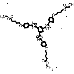 C=COC(=O)CCCCOc1ccc(-c2noc(-c3cc(-c4nc(-c5ccc(OCCCCOC(=O)C=C)cc5)no4)cc(-c4nc(-c5ccc(OCCCCC(=O)OC=C)cc5)no4)c3)n2)cc1